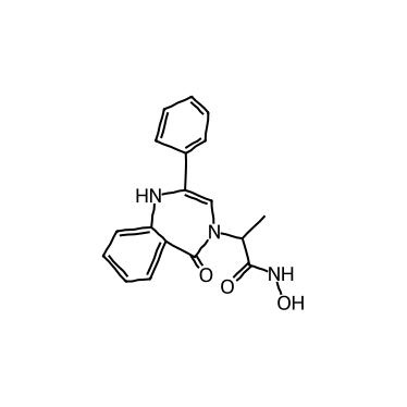 CC(C(=O)NO)N1C=C(c2ccccc2)Nc2ccccc2C1=O